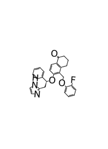 O=C1CCCc2c1ccc(O[C@@H](Cc1ncc[nH]1)c1ccccc1)c2COc1ccccc1F